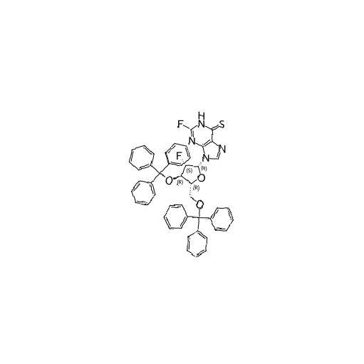 Fc1nc2c(ncn2[C@@H]2O[C@H](COC(c3ccccc3)(c3ccccc3)c3ccccc3)[C@@H](OC(c3ccccc3)(c3ccccc3)c3ccccc3)[C@@H]2F)c(=S)[nH]1